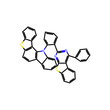 c1ccc(-c2nc(-c3ccccc3-n3c4ccccc4c4ccc5sc6ccccc6c5c43)nc3sc4ccccc4c23)cc1